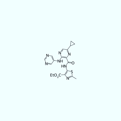 CCOC(=O)c1nc(C)sc1NC(=O)c1nc(C2CC2)cnc1Nc1cncnc1